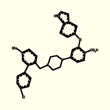 CC(C)(C)c1ccc(CN2CCN(c3ccc(C(=O)O)c(Oc4ccc5[nH]ccc5c4)c3)CC2)c(-c2ccc(Cl)cc2)c1